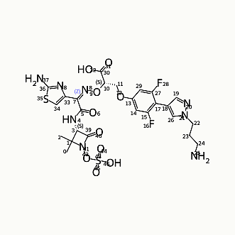 CC1(C)[C@H](NC(=O)/C(=N\O[C@@H](COc2cc(F)c(-c3cnn(CCCN)c3)c(F)c2)C(=O)O)c2csc(N)n2)C(=O)N1OS(=O)(=O)O